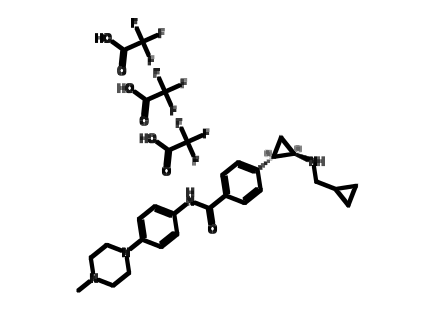 CN1CCN(c2ccc(NC(=O)c3ccc([C@@H]4C[C@H]4NCC4CC4)cc3)cc2)CC1.O=C(O)C(F)(F)F.O=C(O)C(F)(F)F.O=C(O)C(F)(F)F